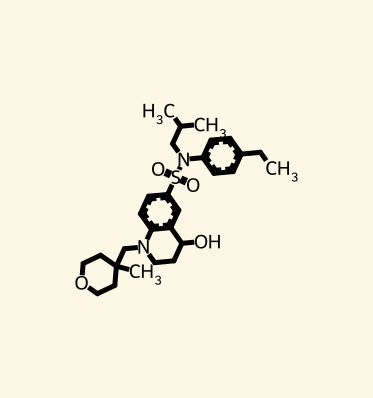 CCc1ccc(N(CC(C)C)S(=O)(=O)c2ccc3c(c2)C(O)CCN3CC2(C)CCOCC2)cc1